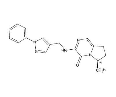 O=C(O)[C@@H]1CCc2cnc(NCc3cnn(-c4ccccc4)c3)c(=O)n21